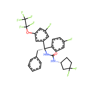 O=C(N[C@@H]1CCC(F)(F)C1)N[C@](Cc1ccccc1)(c1ccc(F)cc1)c1cc(F)cc(OC(F)(F)C(F)(F)F)c1